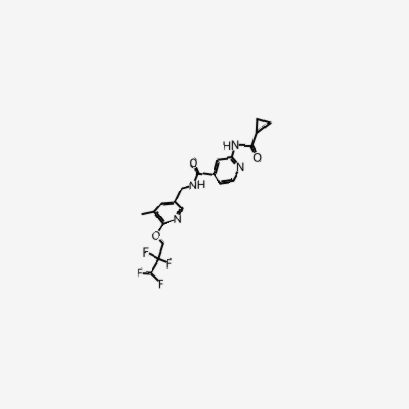 Cc1cc(CNC(=O)c2ccnc(NC(=O)C3CC3)c2)cnc1OCC(F)(F)C(F)F